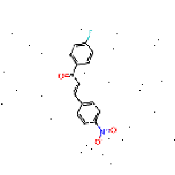 O=C(C=Cc1ccc([N+](=O)[O-])cc1)c1ccc(F)cc1